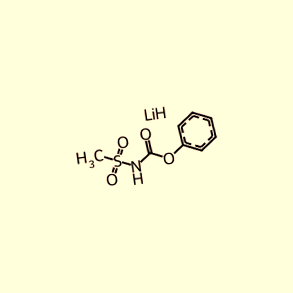 CS(=O)(=O)NC(=O)Oc1ccccc1.[LiH]